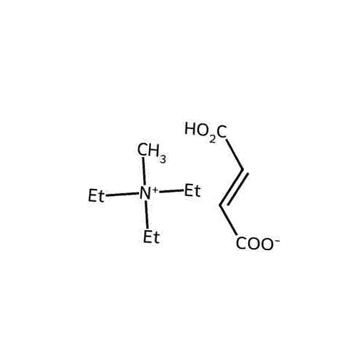 CC[N+](C)(CC)CC.O=C([O-])/C=C/C(=O)O